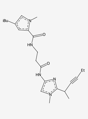 CCC#CC(C)c1nc(NC(=O)CCNC(=O)c2cc(C(C)CC)cn2C)cn1C